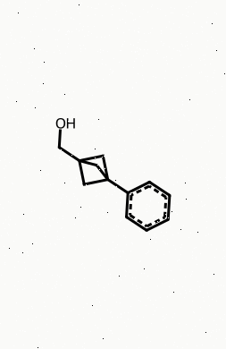 OCC12CC(c3ccccc3)(C1)C2